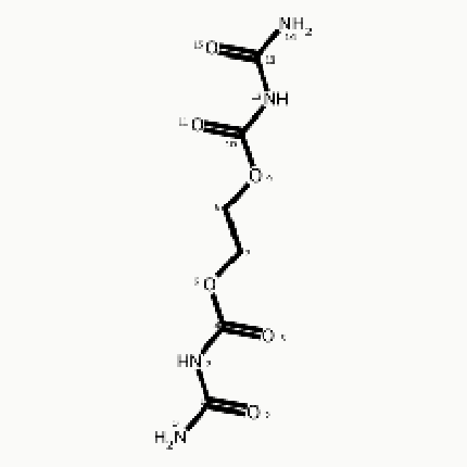 NC(=O)NC(=O)OCCOC(=O)NC(N)=O